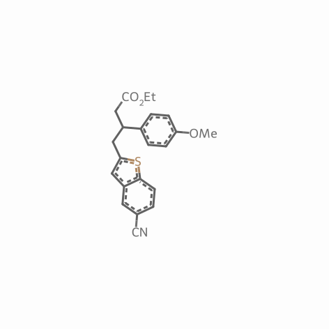 CCOC(=O)CC(Cc1cc2cc(C#N)ccc2s1)c1ccc(OC)cc1